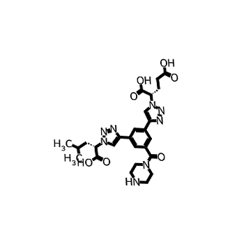 CC(C)C[C@@H](C(=O)O)n1cc(-c2cc(C(=O)N3CCNCC3)cc(-c3cn([C@@H](CCC(=O)O)C(=O)O)nn3)c2)nn1